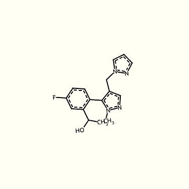 CC(O)c1cc(F)ccc1-c1c(Cn2cccn2)cnn1C